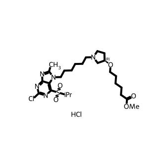 COC(=O)CCCCCO[C@@H]1CCN(CCCCCCn2c(C)nc3nc(Cl)nc(S(=O)(=O)C(C)C)c32)C1.Cl